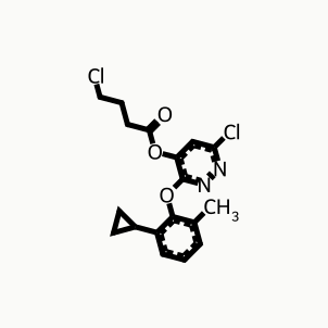 Cc1cccc(C2CC2)c1Oc1nnc(Cl)cc1OC(=O)CCCCl